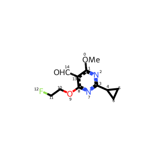 COc1nc(C2CC2)nc(OCCF)c1C=O